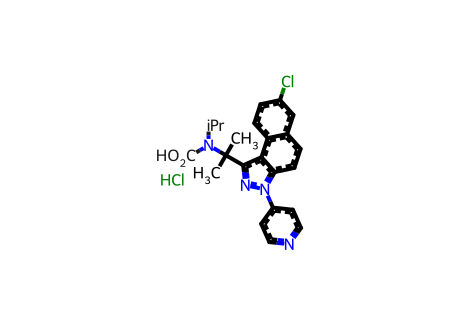 CC(C)N(C(=O)O)C(C)(C)c1nn(-c2ccncc2)c2ccc3cc(Cl)ccc3c12.Cl